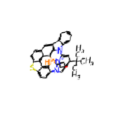 CC(C)(C)c1cc[n+]2c(c1)-n1c3ccccc3c3cc4ccc5sc6ccc7c8c6c5c4c(c31)[PH]82c1cccn1-7